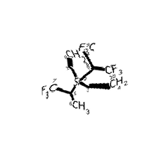 C=C[Si](C=C)(C(C)C(F)(F)F)C(C(F)(F)F)C(F)(F)F